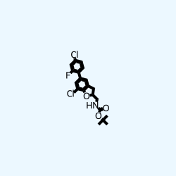 CC(C)(C)OC(=O)NCC1Cc2cc(-c3ccc(Cl)cc3F)cc(Cl)c2O1